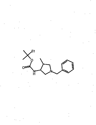 CCC(C)(C)OC(=O)NC1CN(Cc2ccccc2)CC1C